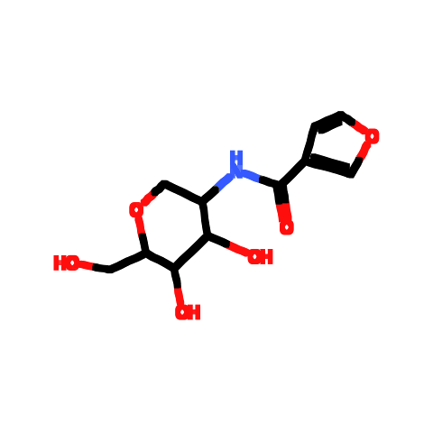 O=C(NC1COC(CO)C(O)C1O)c1ccoc1